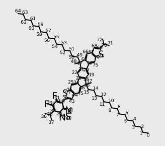 CCCCCCCCCCCCCCCCC1(C)c2cc3c(cc2-c2cc4sc(-c5c(F)c(F)c(C(C)C)c6nsnc56)cc4cc21)C(C)(CCCCCCCCCCCCCCCC)c1cc2cc(C(C)C)sc2cc1-3